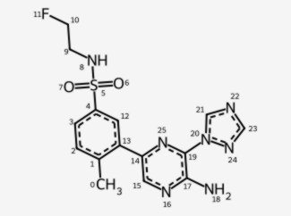 Cc1ccc(S(=O)(=O)NCCF)cc1-c1cnc(N)c(-n2cncn2)n1